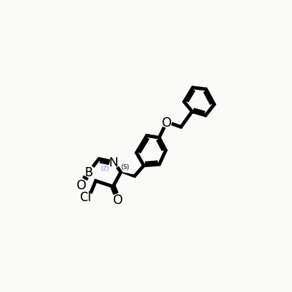 O=B/C=N\[C@@H](Cc1ccc(OCc2ccccc2)cc1)C(=O)CCl